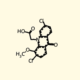 COc1c(Cl)ccc2c(=O)c3ccc(Cl)cc3n(CC(=O)O)c12